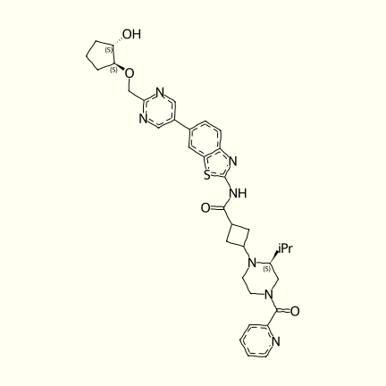 CC(C)[C@H]1CN(C(=O)c2ccccn2)CCN1C1CC(C(=O)Nc2nc3ccc(-c4cnc(CO[C@H]5CCC[C@@H]5O)nc4)cc3s2)C1